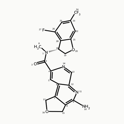 CN(C(=O)c1cc2c3c(c(N)nc2cn1)COC3)[C@H]1COc2cc(C(F)(F)F)cc(F)c21